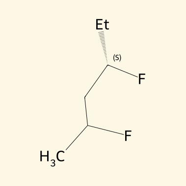 [CH2]C[C@H](F)CC(C)F